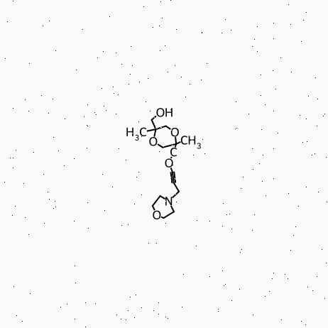 CC1(CO)COC(C)(COC#CCN2CCOCC2)CO1